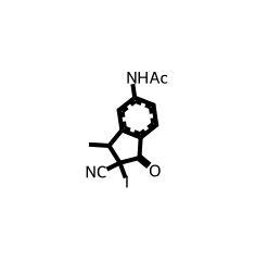 CC(=O)Nc1ccc2c(c1)C(C)C(I)(C#N)C2=O